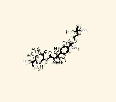 CN[C@H](C(=O)NC(C(=O)N(C)[C@H](/C=C(\C)C(=O)O)C(C)C)C(C)(C)C)C(C)(C)c1ccc(C(C)(C)OCCC(C)(C)S)cc1